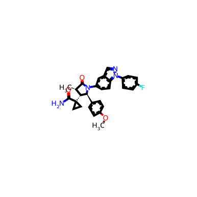 COc1ccc([C@H]2[C@H](C3(C(N)=O)CC3)[C@H](C)C(=O)N2c2ccc3c(cnn3-c3ccc(F)cc3)c2)cc1